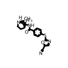 C[C@H]1[C@H](NC(=O)c2ccc(Sc3ncc(C#N)o3)cc2)C2CCN1CC2